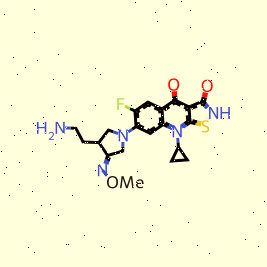 CO/N=C1\CN(c2cc3c(cc2F)c(=O)c2c(=O)[nH]sc2n3C2CC2)CC1CCN